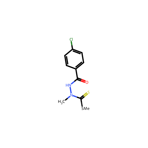 CSC(=S)N(C)NC(=O)c1ccc(Cl)cc1